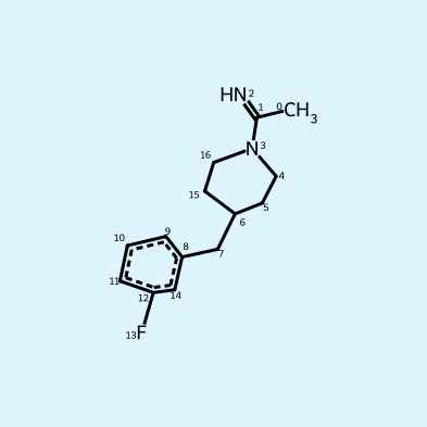 CC(=N)N1CCC(Cc2cccc(F)c2)CC1